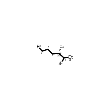 [CH2]CC(F)[C@@H](F)CCCF